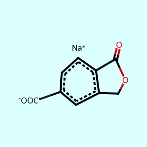 O=C([O-])c1ccc2c(c1)COC2=O.[Na+]